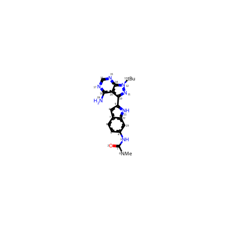 CNC(=O)Nc1ccc2cc(-c3nn(C(C)(C)C)c4ncnc(N)c34)[nH]c2c1